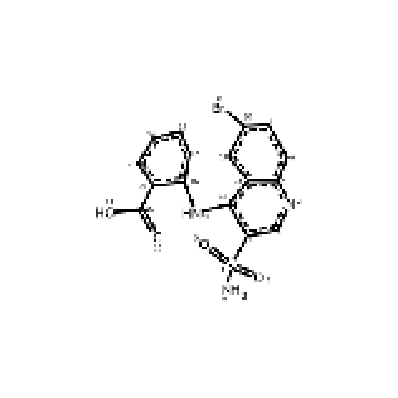 NS(=O)(=O)c1cnc2ccc(Br)cc2c1Nc1ccccc1C(=O)O